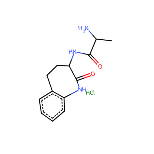 CC(N)C(=O)NC1CCc2ccccc2NC1=O.Cl